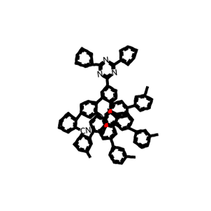 Cc1cccc(-c2ccc3c(c2)c2cc(-c4cccc(C)c4)ccc2n3-c2ccc(-c3nc(-c4ccccc4)nc(-c4ccccc4)n3)cc2-c2ccc(-c3ccccc3C#N)cc2-n2c3ccc(-c4cccc(C)c4)cc3c3cc(-c4cccc(C)c4)ccc32)c1